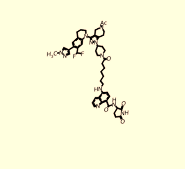 CC(=O)N1CCc2c(c(N3CCCc4cc(-c5cnn(C)c5)c(C(F)F)cc43)nn2C2CCN(C(=O)CCCCCCNc3ccc(C(=O)NC4CCC(=O)NC4=O)c4ncccc34)CC2)C1